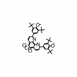 COc1c(C(C)(C)C)cc(-c2ccc3ccc4ccc(-c5cc(C(C)(C)C)c(OC)c(C(C)(C)C)c5)nc4c3n2)cc1C(C)(C)C.[Cl][Co][Cl]